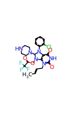 CC=CCn1c2c(c(=O)[nH]c1=O)N(c1ccccc1Cl)C(N1CCNCC1)N2OC(=O)C(F)(F)F